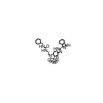 CS(=O)(=O)C1(S(C)(=O)=O)C(=O)N(CCNC(=O)NCc2ccccc2)c2cc3[nH]c(-c4n[nH]c5ccccc45)nc3cc21